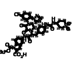 CC(C)(C)OC(=O)n1c(C(=O)O)cc2cc(NC(=O)C(Cc3ccc(NC(=O)NC4CCS(=O)(=O)CC4)cc3)N3CCN(c4cc(Cl)ccc4-n4cnnn4)C(=O)C3=O)ccc21